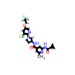 Cc1cc(C(=O)NC2CCN(c3ncc(OCC(F)(F)F)cc3Cl)C2)cc(NC(=O)C2CC2)n1